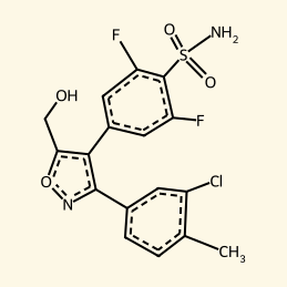 Cc1ccc(-c2noc(CO)c2-c2cc(F)c(S(N)(=O)=O)c(F)c2)cc1Cl